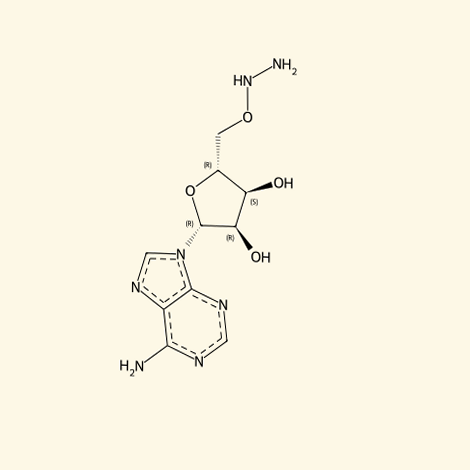 NNOC[C@H]1O[C@@H](n2cnc3c(N)ncnc32)[C@H](O)[C@@H]1O